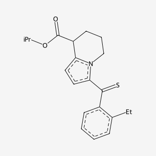 CCc1ccccc1C(=S)c1ccc2n1CCCC2C(=O)OC(C)C